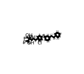 NC(CO)(CCCc1ccc(Sc2cccc(CCc3ccccc3)c2)cc1Cl)C(O)C(F)F